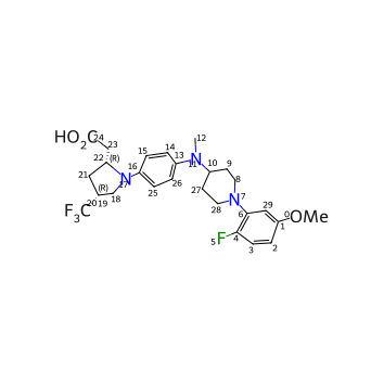 COc1ccc(F)c(N2CCC(N(C)c3ccc(N4C[C@H](C(F)(F)F)C[C@@H]4CC(=O)O)cc3)CC2)c1